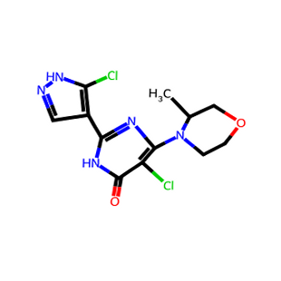 CC1COCCN1c1nc(-c2cn[nH]c2Cl)[nH]c(=O)c1Cl